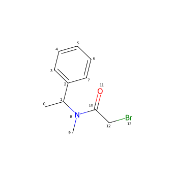 CC(c1ccccc1)N(C)C(=O)CBr